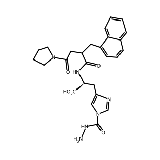 NNC(=O)n1cnc(C[C@H](NC(=O)C(CC(=O)N2CCCC2)Cc2cccc3ccccc23)C(=O)O)c1